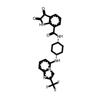 O=C1Nc2c(C(=O)N[C@H]3CC[C@@H](Nc4cccc5nc(C(F)(F)F)cn45)CC3)cccc2C1=O